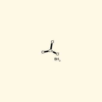 B.[Cl][Co]([Cl])[Cl]